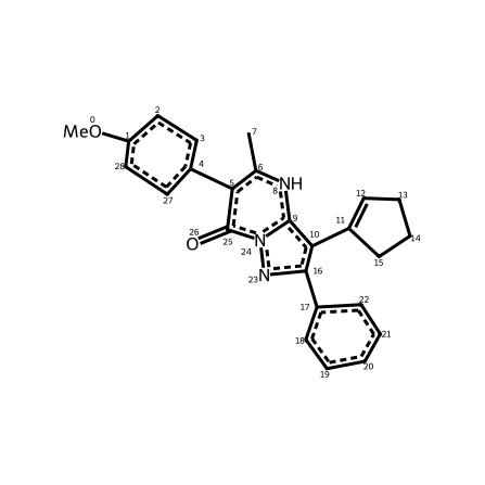 COc1ccc(-c2c(C)[nH]c3c(C4=CCCC4)c(-c4ccccc4)nn3c2=O)cc1